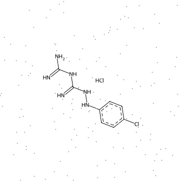 Cl.N=C(N)NC(=N)NNc1ccc(Cl)cc1